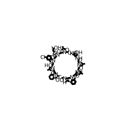 CC(C)C[C@@H]1NC(=O)[C@H](Cc2ccccc2)N(C)C(=O)[C@@H](C(C)C)NC(=O)C[C@@H](C(=O)N2CCCCC2)NC(=O)[C@H](CC(C)C)N(C)C(O)[C@H](Cc2cccc(Cl)c2)N(C)C(=O)[C@H](COC[C@@H](C)O)NC(=O)[C@H](CC(C)C)N(C)C(=O)CN(C)C(=O)[C@H]([C@@H](C)O)NC(=O)[C@H](CC(C)C)N(C)C1=O